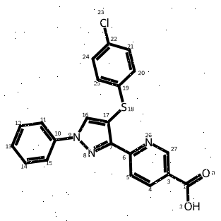 O=C(O)c1ccc(-c2nn(-c3ccccc3)cc2Sc2ccc(Cl)cc2)nc1